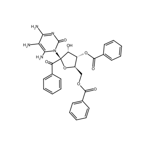 Nc1nc(=O)n([C@]2(C(=O)c3ccccc3)O[C@H](COC(=O)c3ccccc3)[C@@H](OC(=O)c3ccccc3)[C@H]2O)c(N)c1N